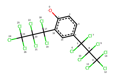 [O]c1ccc(C(Cl)(Cl)C(Cl)(Cl)C(Cl)(Cl)Cl)cc1C(Cl)(Cl)C(Cl)(Cl)C(Cl)(Cl)Cl